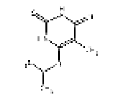 Cc1c(OC(C)C)[nH]c(=S)[nH]c1=O